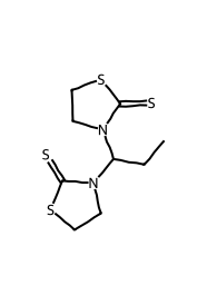 CCC(N1CCSC1=S)N1CCSC1=S